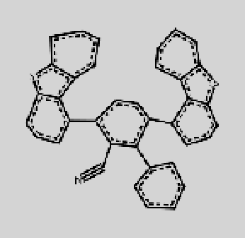 N#Cc1c(-c2cccc3sc4ccccc4c23)ccc(-c2cccc3sc4ccccc4c23)c1-c1ccccc1